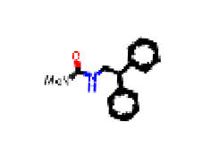 CNC(=O)NCC(c1ccccc1)c1ccccc1